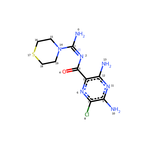 N/C(=N/C(=O)c1nc(Cl)c(N)nc1N)N1CCSCC1